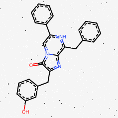 O=c1c(Cc2cccc(O)c2)nc2c(Cc3ccccc3)[nH]c(-c3ccccc3)cn1-2